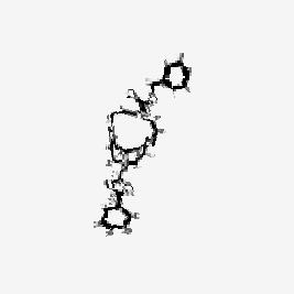 O=C(OCc1ccccc1)N1CCN2CCCN(CC1)CCN(C1OC(c3ccccc3)O1)CC2